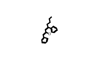 CCCCC(=CC(Cl)=Cc1ccccc1)c1ccccc1